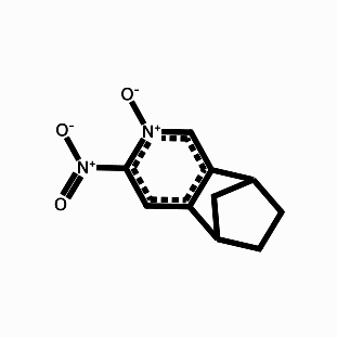 O=[N+]([O-])c1cc2c(c[n+]1[O-])C1CCC2C1